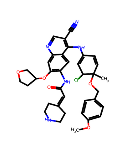 COc1ccc(COC2(C)C=CC(Nc3c(C#N)cnc4cc(OC5CCOC5)c(NC(=O)C=C5CCNCC5)cc34)=CC2Cl)cc1